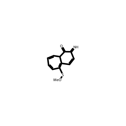 COSC1=C2C=CC(=N)C(=O)C2C=CC=C1